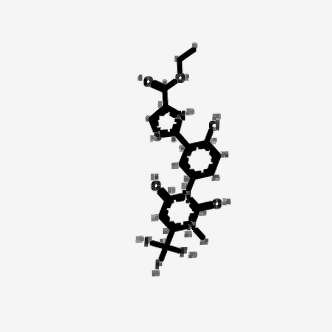 CCOC(=O)c1csc(-c2cc(-n3c(=O)cc(C(F)(F)F)n(C)c3=O)ccc2Cl)n1